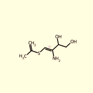 C=C(C)S/C=C(\N)C(O)CO